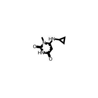 Cn1c(NC2CC2)cc(=O)[nH]c1=O